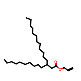 C=CCOC(=O)CC(CCCCCCCCCC)CCCCCCCCCCCC